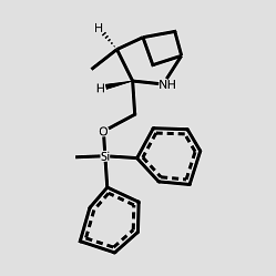 C[C@H]1C2CC(C2)N[C@@H]1CO[Si](C)(c1ccccc1)c1ccccc1